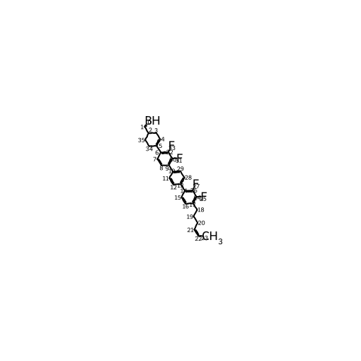 B=CC1CC=C(c2ccc(-c3ccc(-c4ccc(CCC/C=C\C)c(F)c4F)cc3)c(F)c2F)CC1